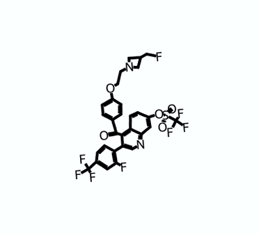 O=C(c1ccc(OCCN2CC(CF)C2)cc1)c1c(-c2ccc(C(F)(F)F)cc2F)cnc2cc(OS(=O)(=O)C(F)(F)F)ccc12